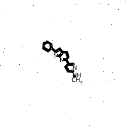 CNc1ccc(-c2ccc3cc(-c4ccccc4)sc3n2)cn1